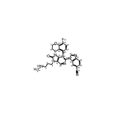 CNCCCn1c(=O)n([C@@H]2CCOc3c(F)ccc(F)c32)c2nc(-n3cnc4ccc(C#N)cc43)ncc21